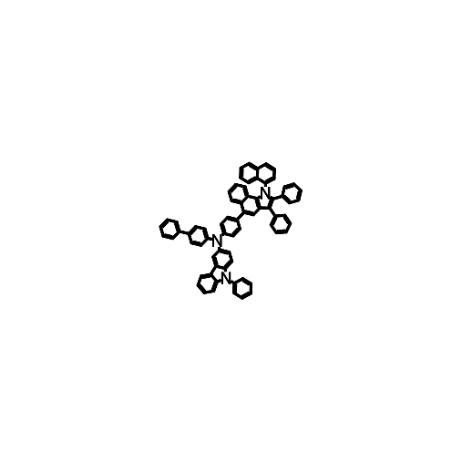 c1ccc(-c2ccc(N(c3ccc(-c4cc5c(-c6ccccc6)c(-c6ccccc6)n(-c6cccc7ccccc67)c5c5ccccc45)cc3)c3ccc4c(c3)c3ccccc3n4-c3ccccc3)cc2)cc1